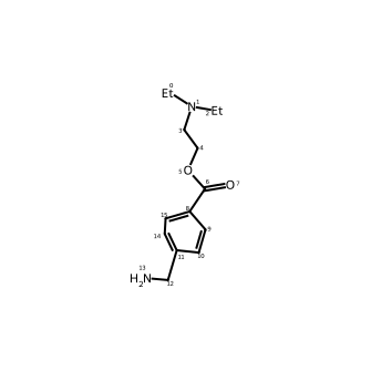 CCN(CC)CCOC(=O)c1ccc(CN)cc1